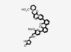 COc1nc(-c2cccc(-c3cccc(-c4ccn5c(=O)c(CN6CCCC[C@H]6C(=O)O)cnc5c4)c3Cl)c2Cl)ccc1CNC[C@H]1CCC(=O)N1